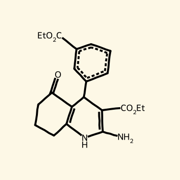 CCOC(=O)C1=C(N)NC2=C(C(=O)CCC2)C1c1cccc(C(=O)OCC)c1